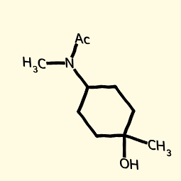 CC(=O)N(C)C1CCC(C)(O)CC1